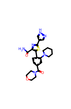 NC(=O)c1nc(-c2cn[nH]c2)sc1-c1ccc(C(=O)N2CCOCC2)cc1N1CCCCC1